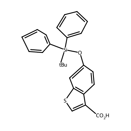 CC(C)(C)[Si](Oc1ccc2c(C(=O)O)csc2c1)(c1ccccc1)c1ccccc1